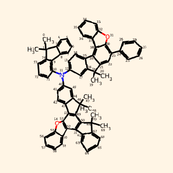 CC1(C)c2ccccc2-c2c(N(c3ccc4c(c3)C(C)(C)c3cc(-c5ccccc5)c5oc6ccccc6c5c3-4)c3ccc4c(c3)C(C)(C)c3c5c(c6c(oc7ccccc76)c3-4)-c3ccccc3C5(C)C)cccc21